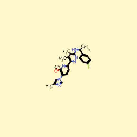 COc1nc(-c2nnc(N[C@@H](C)c3ccc(F)cc3)c(C)c2C)ccc1-n1cnc(C)c1